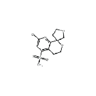 CS(=O)(=O)c1cc(Cl)nc2c1CCOC21CCOC1